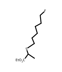 CCOC(=O)C(C)SCCCCCCF